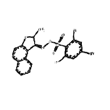 CC1Oc2ccc3ccccc3c2/C1=N/OS(=O)(=O)c1c(C(C)C)cc(C(C)C)cc1C(C)C